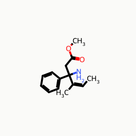 C/C=C(/C)C(N)(CC(=O)OC)c1ccccc1